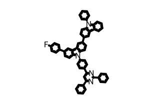 Fc1ccc(-c2ccc3c(c2)c2cc(-c4ccc5c(c4)c4ccccc4n5-c4ccccc4)ccc2n3-c2ccc(-c3cc(-c4ccccc4)nc(-c4ccccc4)n3)cc2)cc1